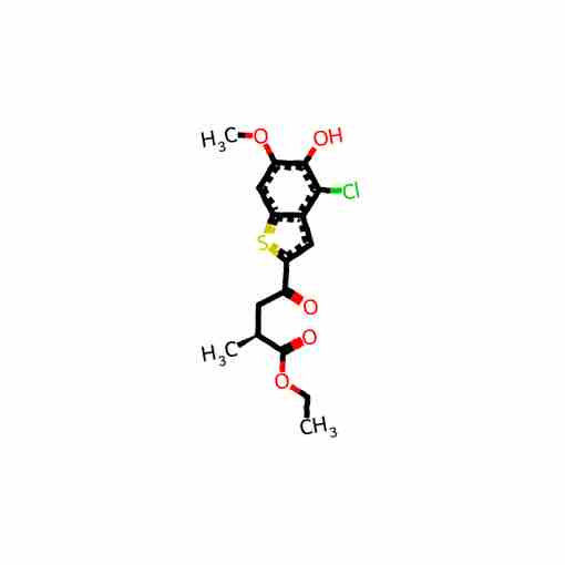 CCOC(=O)[C@@H](C)CC(=O)c1cc2c(Cl)c(O)c(OC)cc2s1